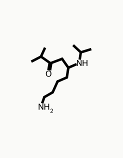 CC(C)NC(CCCCN)CC(=O)C(C)C